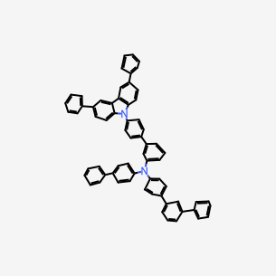 c1ccc(-c2ccc(N(c3ccc(-c4cccc(-c5ccccc5)c4)cc3)c3cccc(-c4ccc(-n5c6ccc(-c7ccccc7)cc6c6cc(-c7ccccc7)ccc65)cc4)c3)cc2)cc1